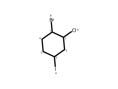 ClC1CC(I)CCC1Br